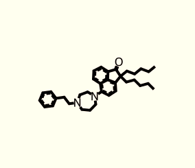 CCCCCC1(CCCCC)C(=O)c2cccc3c(N4CCCN(CCc5ccccc5)CC4)ccc1c23